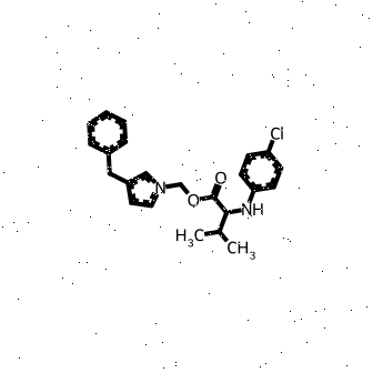 CC(C)C(Nc1ccc(Cl)cc1)C(=O)OCn1ccc(Cc2ccccc2)c1